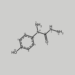 NNC(=O)N(N)c1ccc(O)cc1